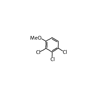 [CH2]Oc1ccc(Cl)c(Cl)c1Cl